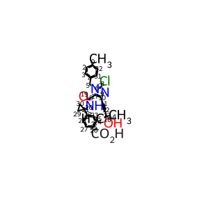 Cc1ccc(Cn2c(Cl)nc(C#CC(C)(C)O)c2C(=O)NC2(c3ccc(C(=O)O)cc3)CC2)cc1